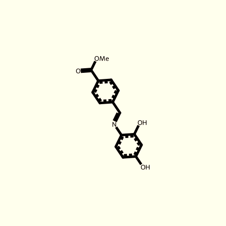 COC(=O)c1ccc(/C=N/c2ccc(O)cc2O)cc1